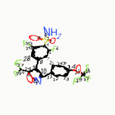 NS(=O)(=O)c1c(F)cc(-c2c(-c3ccc(OC(F)(F)F)cc3)noc2C(F)F)cc1F